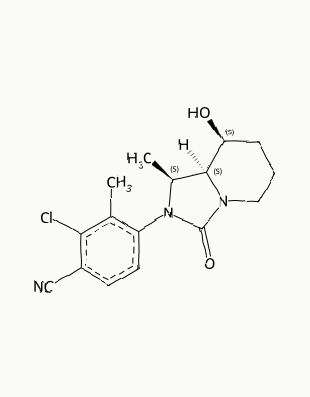 Cc1c(N2C(=O)N3CCC[C@H](O)[C@@H]3[C@@H]2C)ccc(C#N)c1Cl